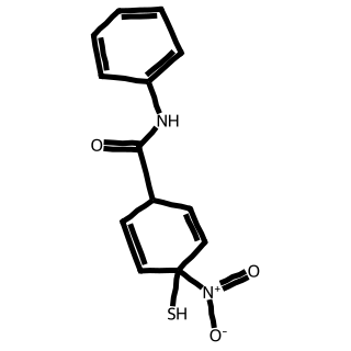 O=C(Nc1ccccc1)C1C=CC(S)([N+](=O)[O-])C=C1